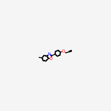 C#CCOc1ccc(-c2nc3cc(C)ccc3o2)cc1